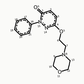 O=c1ccc(OCCN2CCOCC2)nn1-c1ccccc1